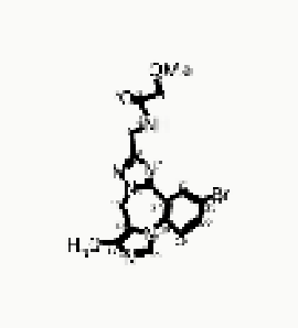 COCC(=O)NCc1nc2n(n1)Cc1c(C)ncn1-c1ccc(Br)cc1-2